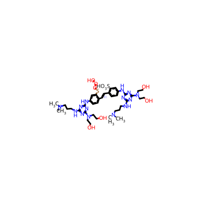 CN(C)CCCNc1nc(Nc2ccc(/C=C/c3ccc(Nc4nc(NCCCN(C)C)nc(N(CCO)CCO)n4)cc3S(=O)(=O)O)c(SOOO)c2)nc(N(CCO)CCO)n1